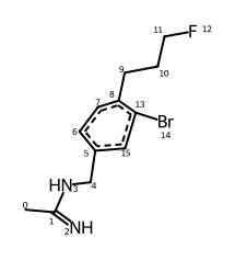 CC(=N)NCc1ccc(CCCF)c(Br)c1